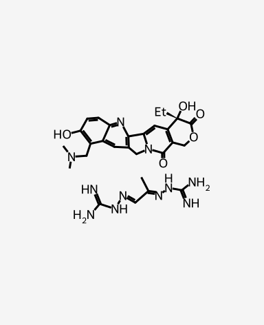 CC(/C=N/NC(=N)N)=N\NC(=N)N.CC[C@@]1(O)C(=O)OCc2c1cc1n(c2=O)Cc2cc3c(CN(C)C)c(O)ccc3nc2-1